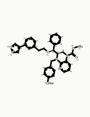 COc1ccc(CN2c3ncccc3N(C(=O)OC(C)(C)C)C[C@@H]2[C@@H](OCCc2cccc(-c3cnoc3)c2)c2ccccc2)cc1